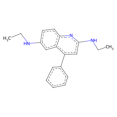 CCNc1ccc2nc(NCC)cc(-c3ccccc3)c2c1